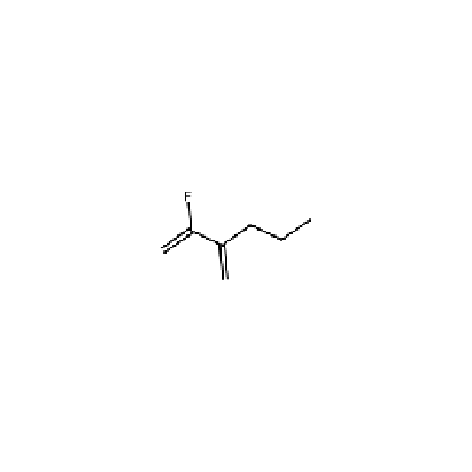 C=C(F)C(=C)CCC